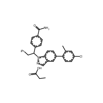 CCC(=O)O.Cc1cc(Cl)ccc1-c1ccc2c(cnn2C(CC(C)C)c2ccc(C(N)=O)cc2)c1